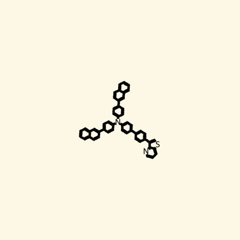 c1ccc2cc(-c3ccc(N(c4ccc(-c5ccc(-c6csc7cccnc67)cc5)cc4)c4ccc(-c5ccc6ccccc6c5)cc4)cc3)ccc2c1